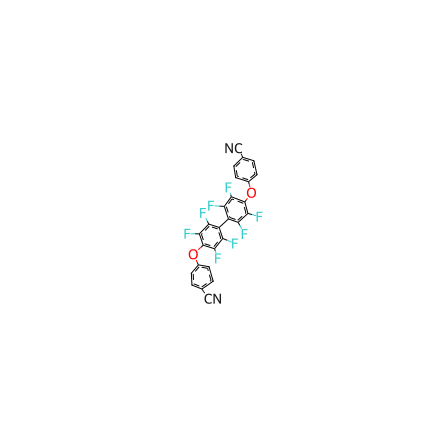 N#Cc1ccc(Oc2c(F)c(F)c(-c3c(F)c(F)c(Oc4ccc(C#N)cc4)c(F)c3F)c(F)c2F)cc1